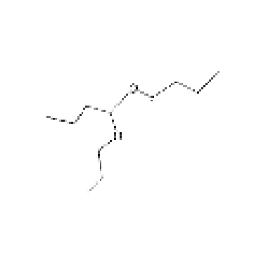 CCC[CH]OC(CCC)OCCC